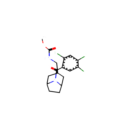 CC(C)(C)OC(=O)N[C@H](C(=O)O)C1CC2CCC(C1)N2C(=O)c1cc(F)c(F)cc1F